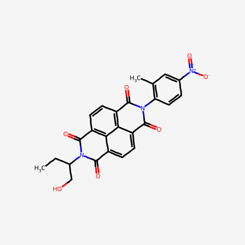 CCC(CO)N1C(=O)c2ccc3c4c(ccc(c24)C1=O)C(=O)N(c1ccc([N+](=O)[O-])cc1C)C3=O